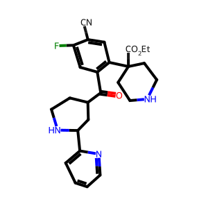 CCOC(=O)C1(c2cc(C#N)c(F)cc2C(=O)C2CCNC(c3ccccn3)C2)CCNCC1